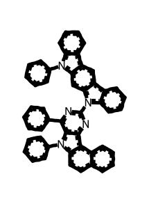 c1ccc(-c2nc(-n3c4ccccc4c4cc5c6ccccc6n(-c6ccccc6)c5cc43)nc3c4c5ccccc5ccc4n(-c4ccccc4)c23)cc1